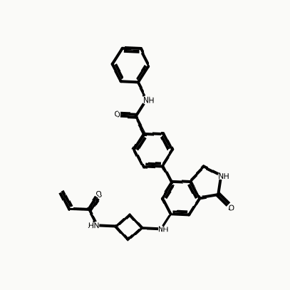 C=CC(=O)NC1CC(Nc2cc3c(c(-c4ccc(C(=O)Nc5ccccc5)cc4)c2)CNC3=O)C1